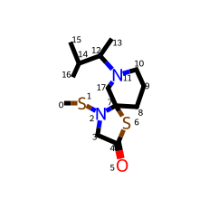 CSN1CC(=O)SC12CCCN(C(C)C(C)C)C2